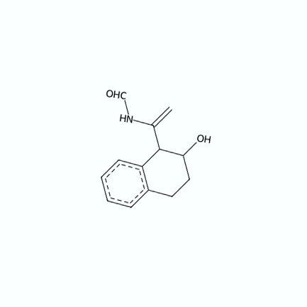 C=C(NC=O)C1c2ccccc2CCC1O